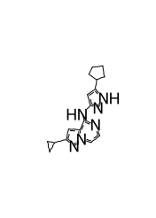 c1cn2nc(C3CC3)cc2c(Nc2cc(C3CCCC3)[nH]n2)n1